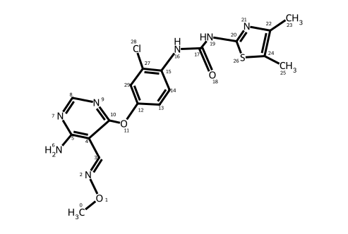 CON=Cc1c(N)ncnc1Oc1ccc(NC(=O)Nc2nc(C)c(C)s2)c(Cl)c1